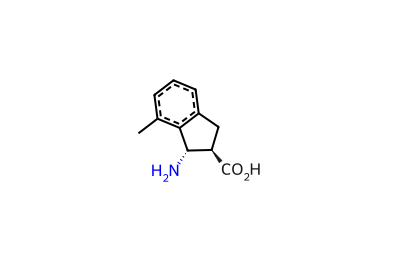 Cc1cccc2c1[C@@H](N)[C@H](C(=O)O)C2